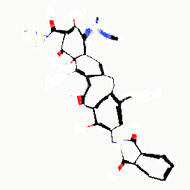 CCCCCc1cc(CN2C(=O)c3ccccc3C2=O)c(O)c2c1CC1CC3C(N(C)C)C(O)=C(C(N)=O)C(=O)C3(O)C(O)=C1C2=O